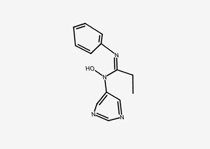 CCC(=Nc1ccccc1)N(O)c1cncnc1